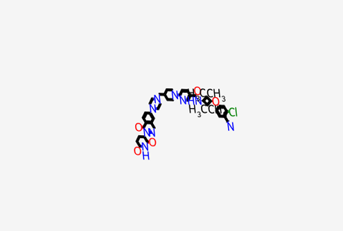 CC1(C)[C@H](NC(=O)c2ccc(N3CCC(CN4CCN(c5ccc6c(=O)n(C7CCC(=O)NC7=O)ncc6c5)CC4)CC3)nc2)C(C)(C)[C@H]1Oc1ccc(C#N)c(Cl)c1